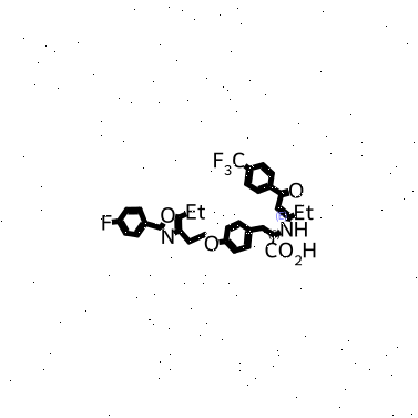 CC/C(=C\C(=O)c1ccc(C(F)(F)F)cc1)N[C@@H](Cc1ccc(OCCc2nc(-c3ccc(F)cc3)oc2CC)cc1)C(=O)O